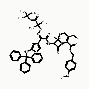 COc1ccc(COC(=O)C2=C(CCl)CS[C@H]3C(NC(=O)/C(=N\OC(C)(C)C(=O)OC(C)(C)C)c4csc(NC(c5ccccc5)(c5ccccc5)c5ccccc5)n4)C(=O)N23)cc1